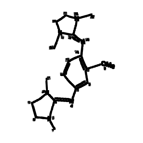 COc1cc(N=C2N(C)CCN2C)ccc1N=C1N(C)CCN1C